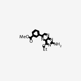 CCOc1nc(N)nc2ncc(-c3cccc(C(=O)OC)c3)nc12